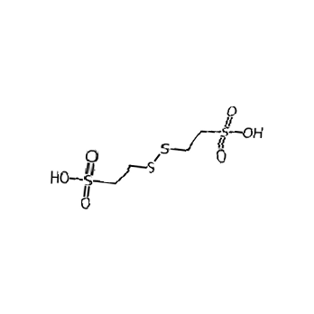 O=S(=O)(O)CCSSCCS(=O)(=O)O